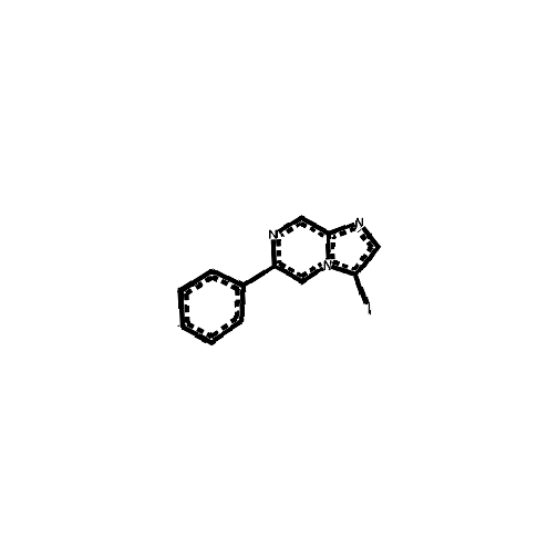 Ic1cnc2cnc(-c3cc[c]cc3)cn12